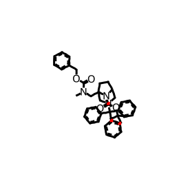 CN(CC12CCC(CN(C(c3ccccc3)(c3ccccc3)c3ccccc3)C1)N2C(=O)OC(C)(C)C)C(=O)OCc1ccccc1